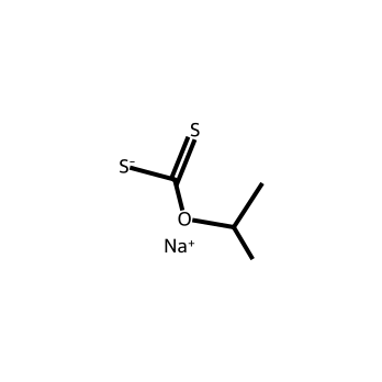 CC(C)OC(=S)[S-].[Na+]